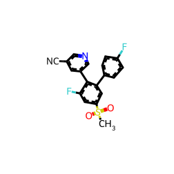 CS(=O)(=O)c1cc(F)c(-c2cncc(C#N)c2)c(-c2ccc(F)cc2)c1